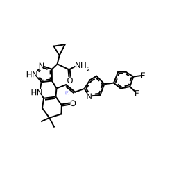 CC1(C)CC(=O)C2=C(C1)Nc1[nH]nc(C(C(N)=O)C3CC3)c1C2/C=C/c1ccc(-c2ccc(F)c(F)c2)cn1